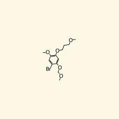 COCCCOc1cc(OCOC)c(Br)cc1OC